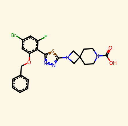 O=C(O)N1CCC2(CC1)CN(c1nnc(-c3c(F)cc(Br)cc3OCc3ccccc3)s1)C2